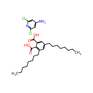 CCCCCCCCc1cc(CCCCCCCC)c(C(=O)O)c(C(=O)O)c1.Nc1cc(Cl)nc(Cl)c1